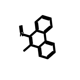 C=Nc1c(C)c2ccccc2c2ccccc12